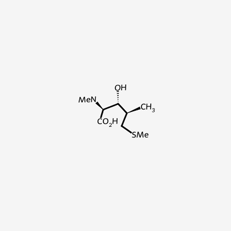 CN[C@H](C(=O)O)[C@H](O)[C@@H](C)CSC